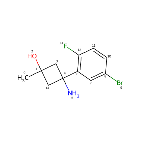 CC1(O)CC(N)(c2cc(Br)ccc2F)C1